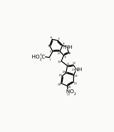 O=C(O)Cc1cccc2[nH]cc(Cc3c[nH]c4cc([N+](=O)[O-])ccc34)c12